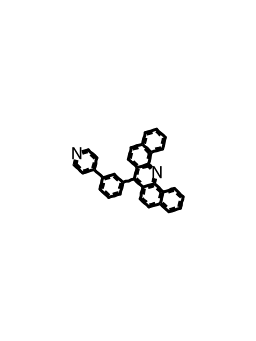 c1cc(-c2ccncc2)cc(-c2c3ccc4ccccc4c3nc3c2ccc2ccccc23)c1